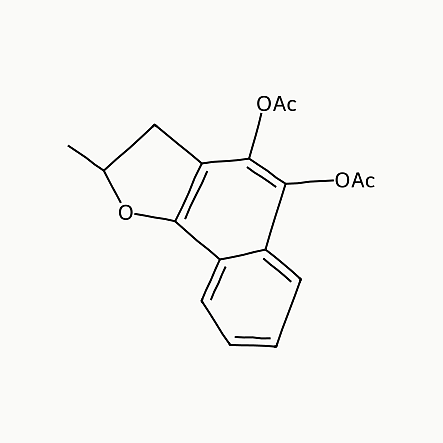 CC(=O)Oc1c2c(c3ccccc3c1OC(C)=O)OC(C)C2